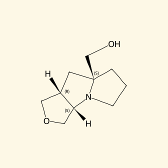 OC[C@@]12CCCN1[C@@H]1COC[C@@H]1C2